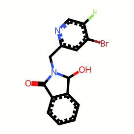 O=C1c2ccccc2C(O)N1Cc1cc(Br)c(F)cn1